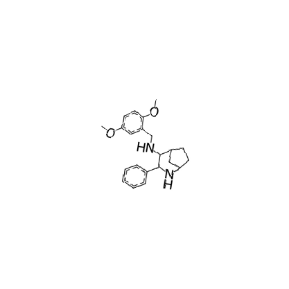 COc1ccc(OC)c(CNC2C3CCC(C3)NC2c2ccccc2)c1